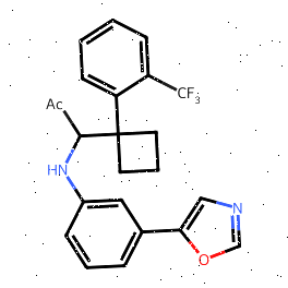 CC(=O)C(Nc1cccc(-c2cnco2)c1)C1(c2ccccc2C(F)(F)F)CCC1